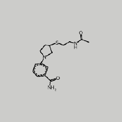 CC(=O)NCCSC1CCN(c2cccc(C(N)=O)c2)C1